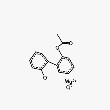 CC(=O)Oc1ccccc1-c1ccccc1[O-].[Cl-].[Mg+2]